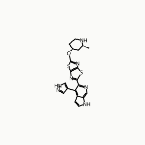 C[C@H]1C[C@@H](Oc2nc3sc(-c4ncc5[nH]ccc5c4-c4cn[nH]c4)nc3s2)CCN1